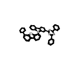 c1ccc(-c2nc(-c3ccccc3)nc(-c3ccc4c5ccccc5n(-c5cccc6c5oc5c(-c7ccccc7)cccc56)c4c3)n2)cc1